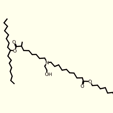 CCCCCCCCC(CCCCCCCC)OC(=O)C(C)CCCCCCN(CCO)CCCCCCCCCC(=O)OCCCCCCC